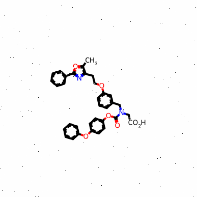 Cc1oc(-c2ccccc2)nc1CCOc1cccc(CN(CC(=O)O)C(=O)Oc2ccc(Oc3ccccc3)cc2)c1